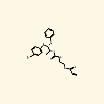 C=CC(=O)OCCNC(=O)OC(C)[C@@H](Sc1ccccc1)Sc1ccc(Br)cc1